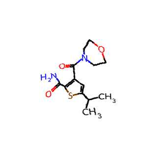 CC(C)c1cc(C(=O)N2CCOCC2)c(C(N)=O)s1